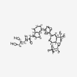 C[C@H](Oc1ccc(-c2nc(-c3cccc4c3ccn4CC(=O)NC[C@@H](O)CO)no2)cc1C(F)(F)F)C(F)(F)F